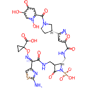 Nc1nc(/C(=N/OC2(C(=O)O)CC2)C(=O)NCC2C(=O)N(S(=O)(=O)O)[C@H]2CNC(=O)c2cc([C@@H]3CCN(C(=O)c4cc(=O)c(O)cn4O)C3)no2)cs1